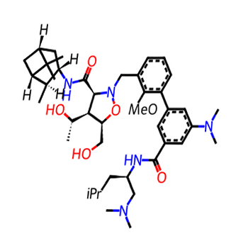 COc1c(CN2O[C@@H](CO)[C@@H]([C@H](C)O)[C@H]2C(=O)N[C@H]2C[C@H]3C[C@@H]([C@@H]2C)C3(C)C)cccc1-c1cc(C(=O)N[C@H](CC(C)C)CN(C)C)cc(N(C)C)c1